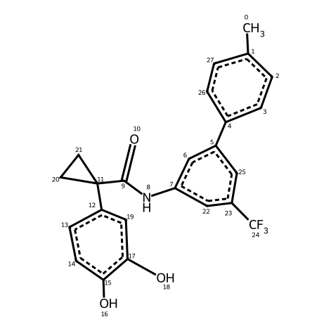 Cc1ccc(-c2cc(NC(=O)C3(c4ccc(O)c(O)c4)CC3)cc(C(F)(F)F)c2)cc1